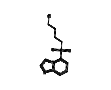 O=S(=O)(CCCCCl)c1cccc2nccn12